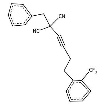 N#CC(C#N)(C#CCCc1ccccc1C(F)(F)F)Cc1ccccc1